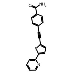 NC(=O)c1ccc(C#Cc2ccc(-c3ccccn3)s2)cc1